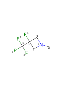 CN1CC(F)(C(F)(F)F)C1